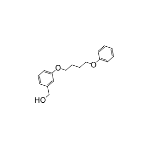 OCc1cccc(OCCCCOc2ccccc2)c1